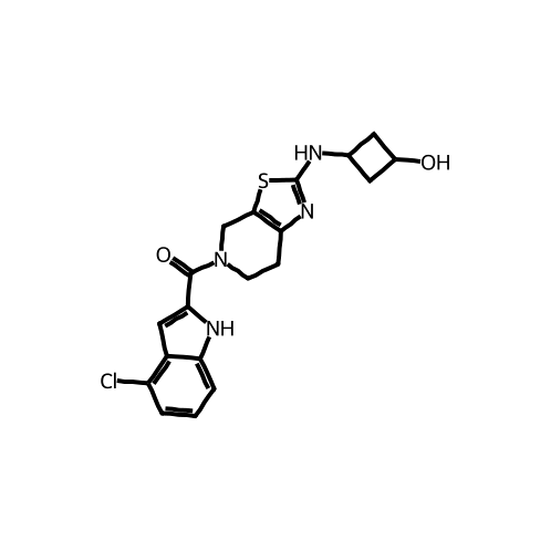 O=C(c1cc2c(Cl)cccc2[nH]1)N1CCc2nc(NC3CC(O)C3)sc2C1